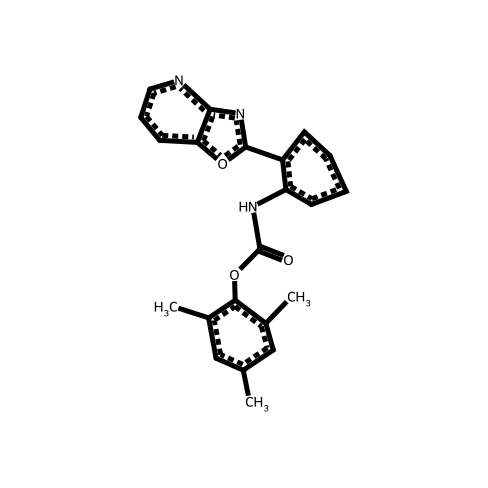 Cc1cc(C)c(OC(=O)Nc2ccccc2-c2nc3ncccc3o2)c(C)c1